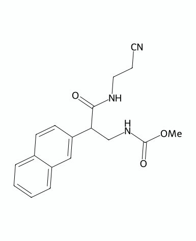 COC(=O)NCC(C(=O)NCCC#N)c1ccc2ccccc2c1